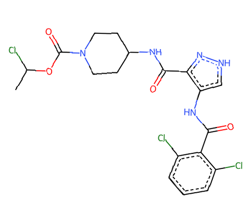 CC(Cl)OC(=O)N1CCC(NC(=O)c2n[nH]cc2NC(=O)c2c(Cl)cccc2Cl)CC1